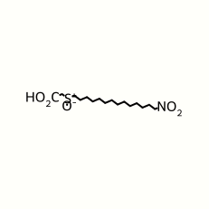 O=C(O)C[S+]([O-])CCCCCCCCCCCCCC[N+](=O)[O-]